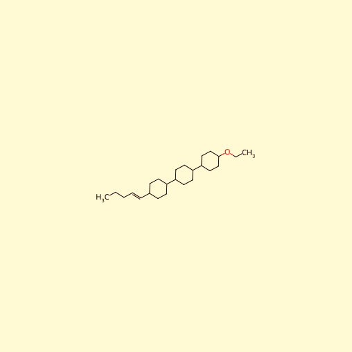 CCC/C=C/C1CCC(C2CCC(C3CCC(OCC)CC3)CC2)CC1